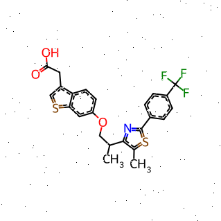 Cc1sc(-c2ccc(C(F)(F)F)cc2)nc1C(C)COc1ccc2c(CC(=O)O)csc2c1